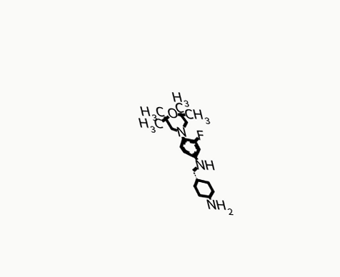 CC1(C)CN(c2ccc(NC[C@H]3CC[C@H](N)CC3)cc2F)CC(C)(C)O1